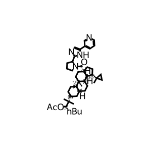 CCCC[C@H](OC(C)=O)C(C)(C)[C@@H]1CC[C@]2(C)[C@H](CC[C@@H]3[C@H]4[C@H](C5(C)CC5)CC[C@]4(C(=O)N4CCCC4c4ncc(-c5cccnc5)[nH]4)CC[C@]32C)C1